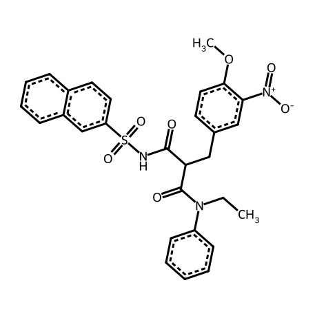 CCN(C(=O)C(Cc1ccc(OC)c([N+](=O)[O-])c1)C(=O)NS(=O)(=O)c1ccc2ccccc2c1)c1ccccc1